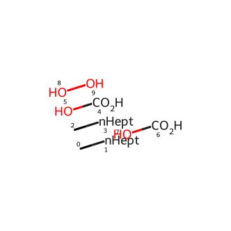 CCCCCCCC.CCCCCCCC.O=C(O)O.O=C(O)O.OO